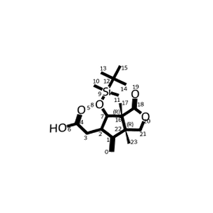 C=C1C(CC(=O)O)C(O[Si](C)(C)C(C)(C)C)[C@]2(C)C(=O)OC[C@]12C